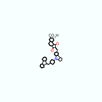 O=C(O)c1ccc2c3c(ccc2c1)C(=O)/C(=C\c1ccc2c(c1)C1CCCC1N2c1ccc(C=C2c4ccccc4-c4ccccc42)cc1)C3=O